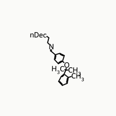 CCCCCCCCCCCCN=Cc1ccc(OC(C)(C)c2ccccc2C)cc1